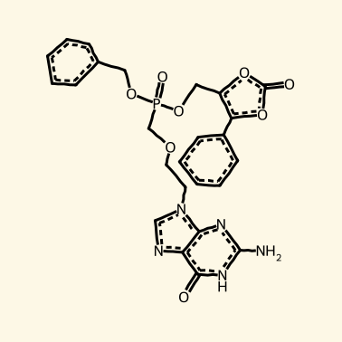 Nc1nc2c(ncn2CCOCP(=O)(OCc2ccccc2)OCc2oc(=O)oc2-c2ccccc2)c(=O)[nH]1